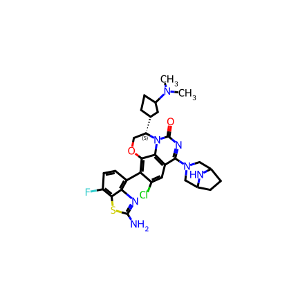 CN(C)C1CCC([C@H]2COc3c(-c4ccc(F)c5sc(N)nc45)c(Cl)cc4c(N5CC6CCC(C5)N6)nc(=O)n2c34)C1